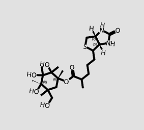 CC(CCCC1SC[C@@H]2NC(=O)N[C@H]12)C(=O)O[C@]1(C)CC(C)(CO)[C@@](C)(O)C(C)(O)C1(C)O